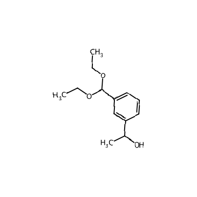 CCOC(OCC)c1cccc(C(C)O)c1